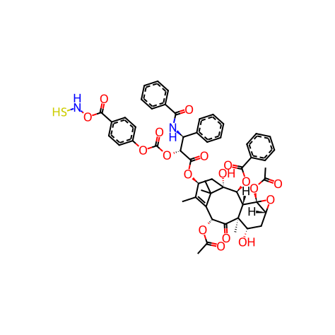 CC(=O)O[C@H]1C(=O)[C@@]2(C)[C@H]([C@H](OC(=O)c3ccccc3)[C@]3(O)C[C@H](OC(=O)[C@H](OC(=O)Oc4ccc(C(=O)ONS)cc4)[C@@H](NC(=O)c4ccccc4)c4ccccc4)C(C)=C1C3(C)C)[C@]1(OC(C)=O)O[C@@H]1C[C@@H]2O